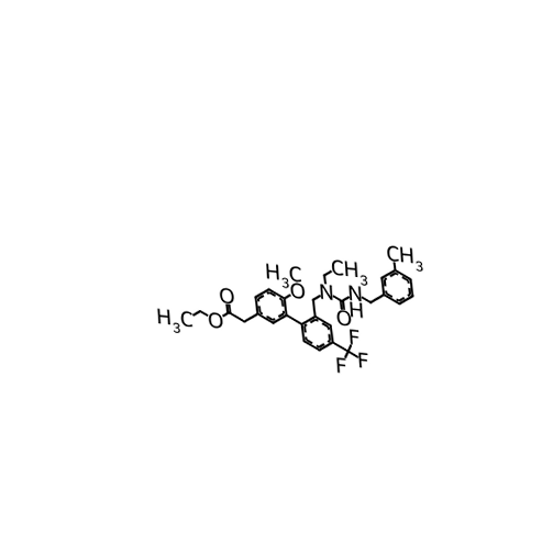 CCOC(=O)Cc1ccc(OC)c(-c2ccc(C(F)(F)F)cc2CN(CC)C(=O)NCc2cccc(C)c2)c1